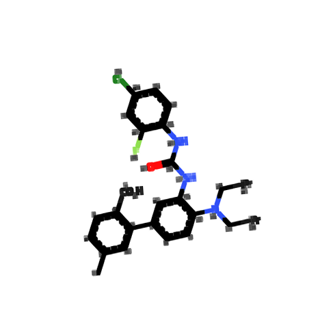 Cc1ccc(C(=O)O)c(-c2ccc(N(CC(C)C)CC(C)C)c(NC(=O)Nc3ccc(Cl)cc3F)c2)c1